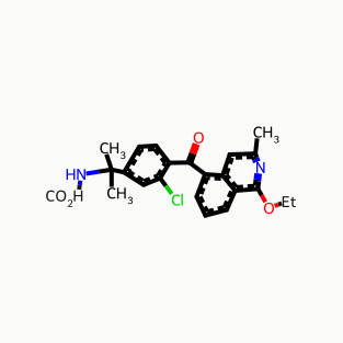 CCOc1nc(C)cc2c(C(=O)c3ccc(C(C)(C)NC(=O)O)cc3Cl)cccc12